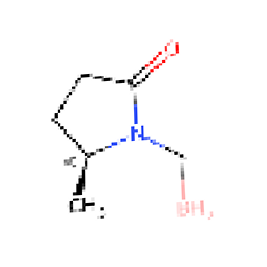 BCN1C(=O)CC[C@@H]1C